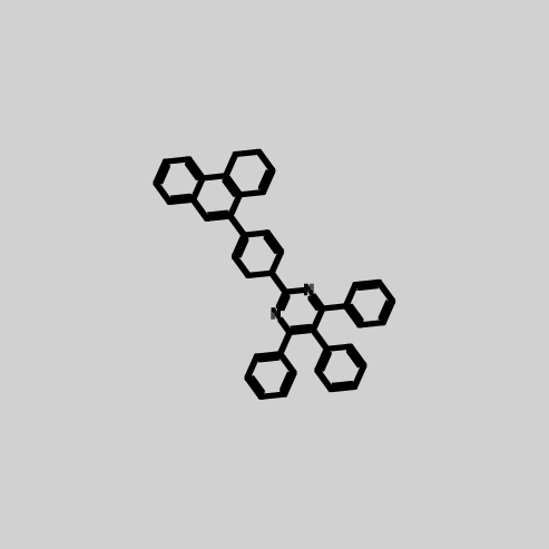 C1=Cc2c(C3=CCC(c4nc(-c5ccccc5)c(-c5ccccc5)c(-c5ccccc5)n4)C=C3)cc3ccccc3c2CC1